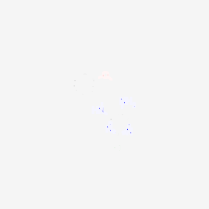 Nc1cnc(Cl)nc1NC1CCOc2c(F)cccc21